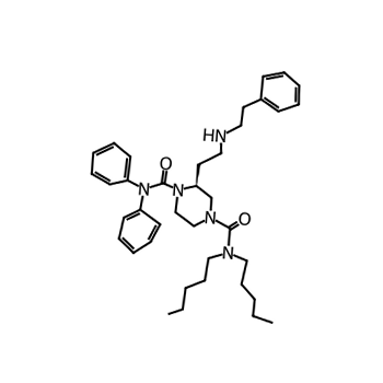 CCCCCN(CCCCC)C(=O)N1CCN(C(=O)N(c2ccccc2)c2ccccc2)[C@@H](CCNCCc2ccccc2)C1